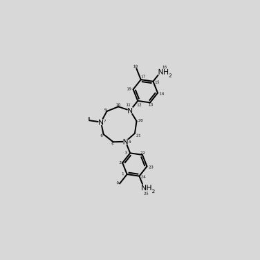 Cc1cc(N2CCN(C)CCN(c3ccc(N)c(C)c3)CC2)ccc1N